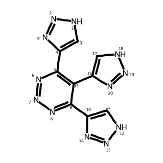 c1[nH]nnc1-c1nnnc(-c2c[nH]nn2)c1-c1c[nH]nn1